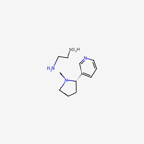 CN1CCC[C@H]1c1cccnc1.NCCS(=O)(=O)O